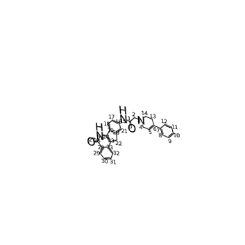 O=C(CN1CC=C(c2ccccc2)CC1)Nc1ccc2c(c1)Cc1c-2[nH]c(=O)c2ccccc12